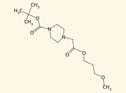 COCCCOC(=O)CN1CCN(C(=O)OC(C)(C)C)CC1